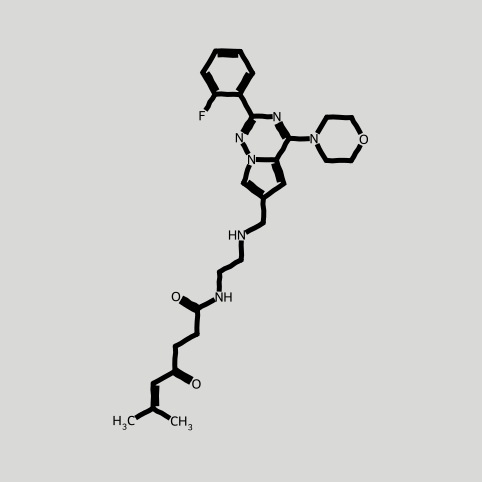 CC(C)=CC(=O)CCC(=O)NCCNCc1cc2c(N3CCOCC3)nc(-c3ccccc3F)nn2c1